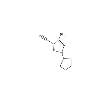 N#Cc1cn(C2CCCC2)nc1N